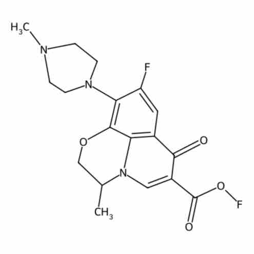 CC1COc2c(N3CCN(C)CC3)c(F)cc3c(=O)c(C(=O)OF)cn1c23